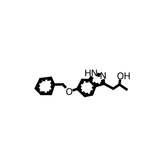 CC(O)Cc1n[nH]c2cc(OCc3ccccc3)ccc12